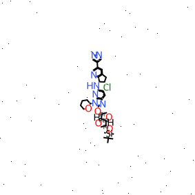 Cn1cc(-c2cnc3c(c2)CCC3Nc2nc3c(cc2Cl)nc(O[C@@H]2CO[C@H]4[C@@H]2OC[C@H]4O[Si](C)(C)C(C)(C)C)n3C2CCCCO2)cn1